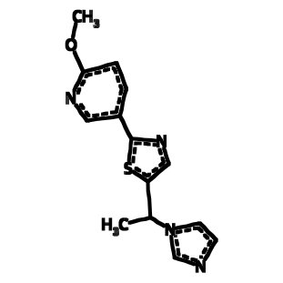 COc1ccc(-c2ncc(C(C)n3ccnc3)s2)cn1